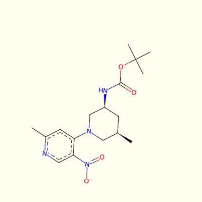 Cc1cc(N2C[C@H](C)C[C@H](NC(=O)OC(C)(C)C)C2)c([N+](=O)[O-])cn1